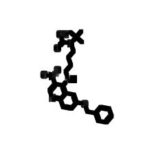 CC(C)(C)N(CCCCNc1c([N+](=O)[O-])cnc2ccc(OCc3ccccc3)cc12)C(=O)O